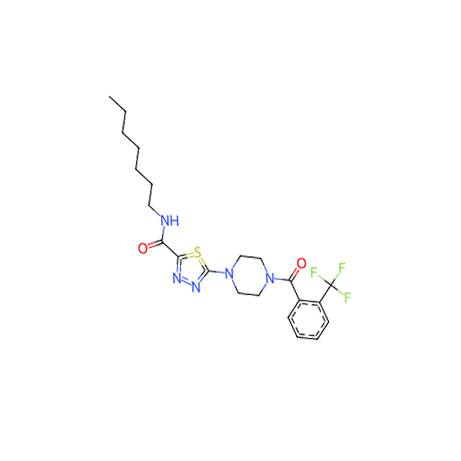 CCCCCCCNC(=O)c1nnc(N2CCN(C(=O)c3ccccc3C(F)(F)F)CC2)s1